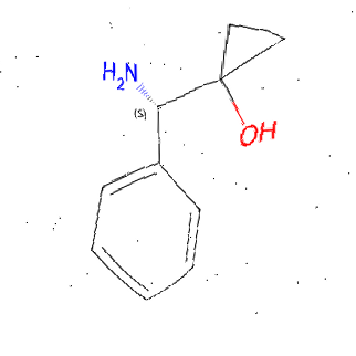 N[C@@H](c1ccccc1)C1(O)CC1